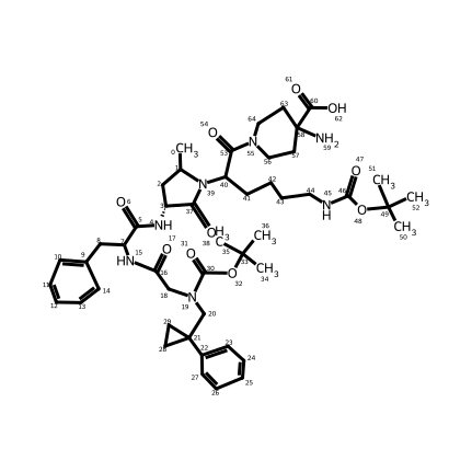 CC1C[C@@H](NC(=O)C(Cc2ccccc2)NC(=O)CN(CC2(c3ccccc3)CC2)C(=O)OC(C)(C)C)C(=O)N1C(CCCCNC(=O)OC(C)(C)C)C(=O)N1CCC(N)(C(=O)O)CC1